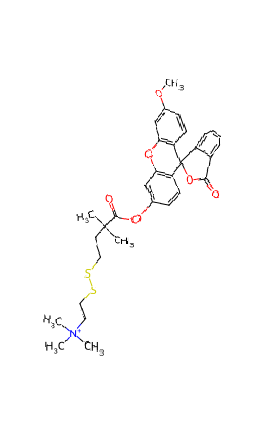 COc1ccc2c(c1)Oc1cc(OC(=O)C(C)(C)CCSSCC[N+](C)(C)C)ccc1C21OC(=O)c2ccccc21